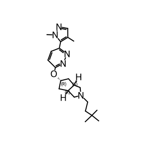 Cc1cnn(C)c1-c1ccc(O[C@@H]2C[C@@H]3CN(CCC(C)(C)C)C[C@@H]3C2)nn1